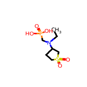 CCN(CP(=O)(O)O)C1CCS(=O)(=O)C1